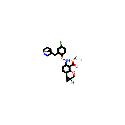 COC(=O)c1c(NSc2ccc(F)cc2CC2CN3CCC2CC3)ccc2c1OC[C@@H]1CC21